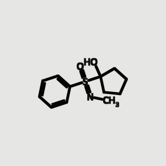 CN=S(=O)(c1ccccc1)C1(O)CCCC1